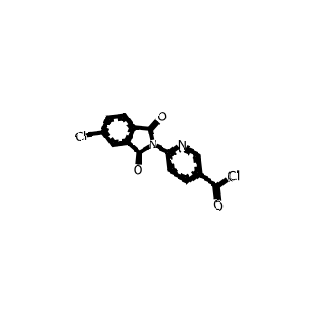 O=C(Cl)c1ccc(N2C(=O)c3ccc(Cl)cc3C2=O)nc1